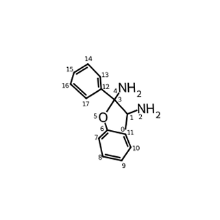 CC(N)C(N)(Oc1ccccc1)c1ccccc1